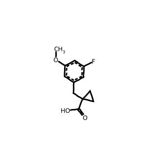 COc1cc(F)cc(CC2(C(=O)O)CC2)c1